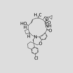 C[C@H]1C/C=C/[C@H](O)[C@@H]2CC[C@H]2CN2C[C@@]3(CCCc4cc(Cl)ccc43)COc3ccc(cc32)C(=O)NS(=O)(=O)[C@@H]1CC1CC1